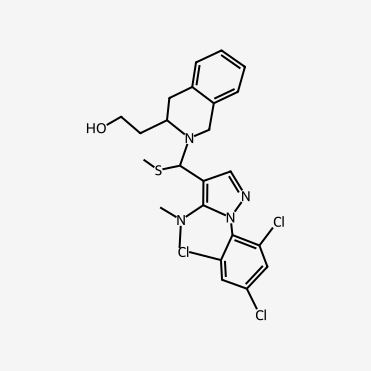 CSC(c1cnn(-c2c(Cl)cc(Cl)cc2Cl)c1N(C)C)N1Cc2ccccc2CC1CCO